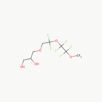 OCC(O)COCC(F)(F)OC(F)(F)C(F)(F)OC(F)(F)F